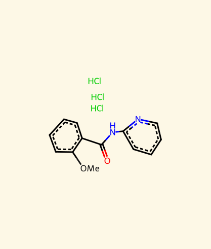 COc1ccccc1C(=O)Nc1ccccn1.Cl.Cl.Cl